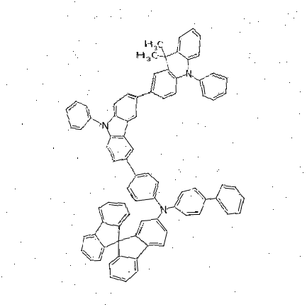 CC1(C)c2ccccc2N(c2ccccc2)c2ccc(-c3ccc4c(c3)c3cc(-c5ccc(N(c6ccc(-c7ccccc7)cc6)c6ccc7c(c6)C6(c8ccccc8-c8ccccc86)c6ccccc6-7)cc5)ccc3n4-c3ccccc3)cc21